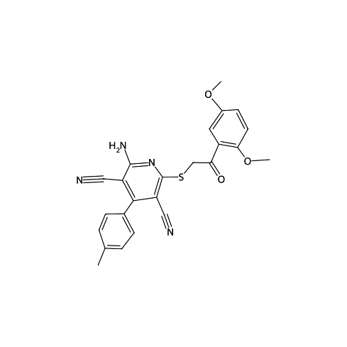 COc1ccc(OC)c(C(=O)CSc2nc(N)c(C#N)c(-c3ccc(C)cc3)c2C#N)c1